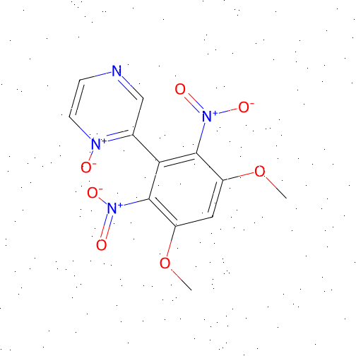 COc1cc(OC)c([N+](=O)[O-])c(-c2cncc[n+]2[O-])c1[N+](=O)[O-]